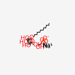 CCCCCCCCCCCCOC1O[C@H](CO)[C@@H](O)[C@H](O)[C@H]1O.O=P([O-])([O-])OCCCO.[Na+].[Na+]